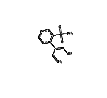 C=CC(=CCCCC)c1ccccc1S(N)(=O)=O